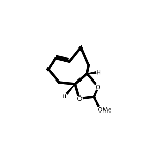 COC1O[C@H]2CC/C=C/CC[C@H]2O1